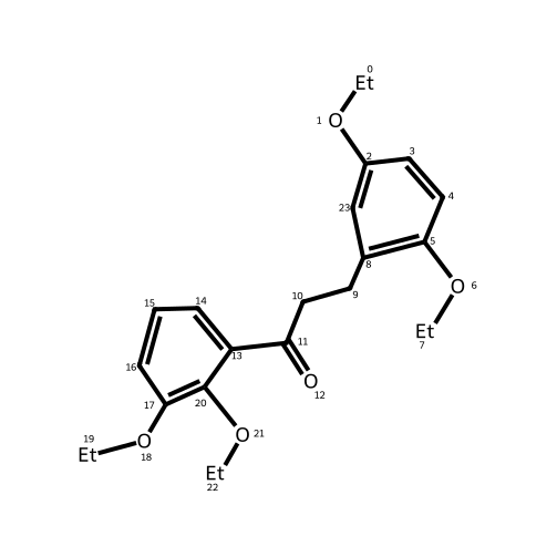 CCOc1ccc(OCC)c(CCC(=O)c2cccc(OCC)c2OCC)c1